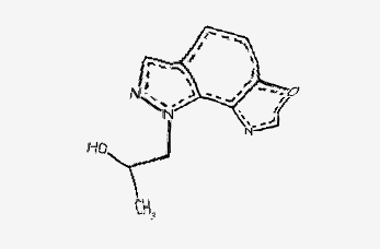 CC(O)Cn1ncc2ccc3ocnc3c21